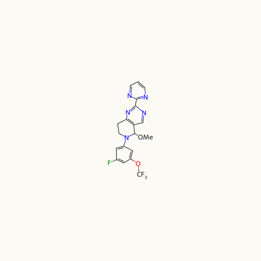 COC1c2cnc(-c3ncccn3)nc2CCN1c1cc(F)cc(OC(F)(F)F)c1